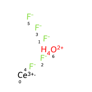 [Ce+3].[F-].[F-].[F-].[F-].[F-].[OH4+2]